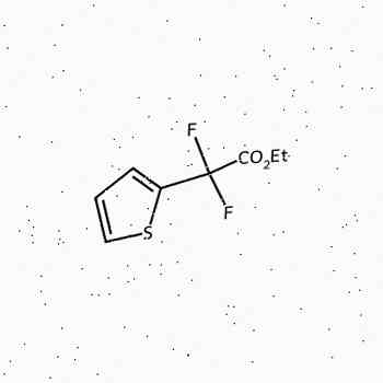 CCOC(=O)C(F)(F)c1cccs1